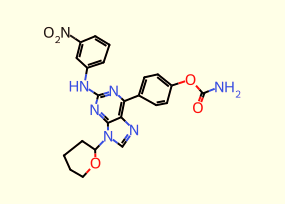 NC(=O)Oc1ccc(-c2nc(Nc3cccc([N+](=O)[O-])c3)nc3c2ncn3C2CCCCO2)cc1